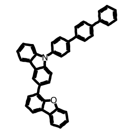 c1ccc(-c2ccc(-c3ccc(-n4c5ccccc5c5cc(-c6cccc7c6oc6ccccc67)ccc54)cc3)cc2)cc1